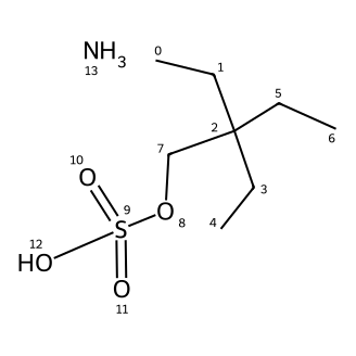 CCC(CC)(CC)COS(=O)(=O)O.N